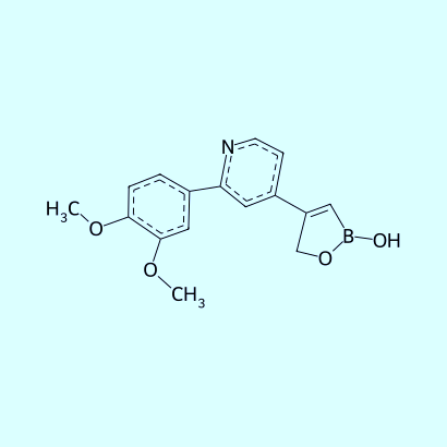 COc1ccc(-c2cc(C3=CB(O)OC3)ccn2)cc1OC